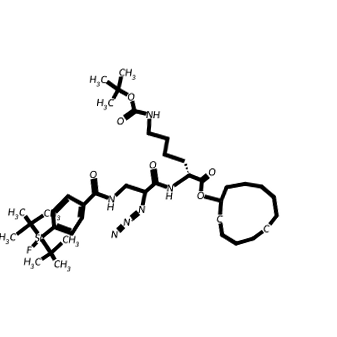 CC(C)(C)OC(=O)NCCCC[C@@H](NC(=O)C(CNC(=O)c1ccc([Si](F)(C(C)(C)C)C(C)(C)C)cc1)N=[N+]=[N-])C(=O)OC1CCCCCCCCCC1